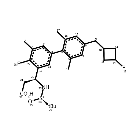 Cc1cc(-c2c(C)cc(CC3CC(F)C3)cc2C)cc([C@H](CC(=O)O)N[S@+]([O-])C(C)(C)C)c1F